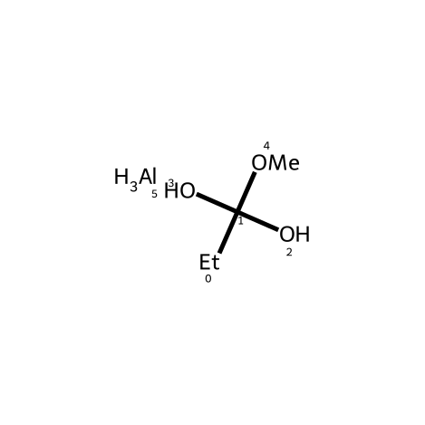 CCC(O)(O)OC.[AlH3]